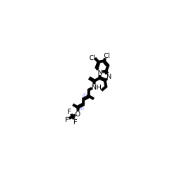 C=C(NC/C(C)=C/C=C(\C)OC(F)(F)F)c1c(CC)nc2cc(Cl)c(Cl)cn12